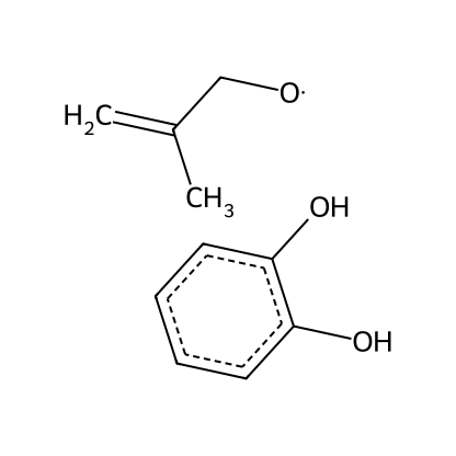 C=C(C)C[O].Oc1ccccc1O